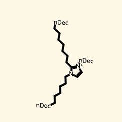 CCCCCCCCCCCCCCCCCc1n(CCCCCCCCCCCCCCCC)cc[n+]1CCCCCCCCCC